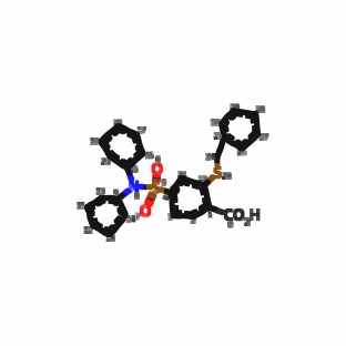 O=C(O)c1ccc(S(=O)(=O)N(c2ccccc2)c2ccccc2)cc1SCc1ccccc1